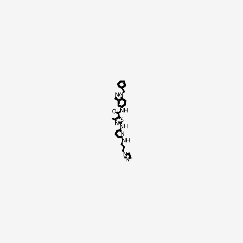 Cc1nc(Nc2cccc(NCCCn3ccnc3)n2)sc1C(=O)Nc1ccc2c(cnn2Cc2ccccc2)c1